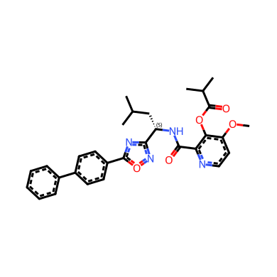 COc1ccnc(C(=O)N[C@@H](CC(C)C)c2noc(-c3ccc(-c4ccccc4)cc3)n2)c1OC(=O)C(C)C